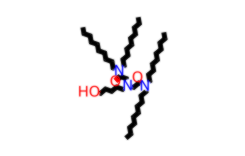 CCCCCCCCCCN(CCCCCCCCCC)C(=O)CN(CCCCCO)CC(=O)N(CCCCCCCCCC)CCCCCCCCCC